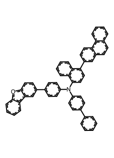 c1ccc(-c2ccc(N(c3ccc(-c4ccc5oc6ccccc6c5c4)cc3)c3ccc(-c4ccc5c(ccc6ccccc65)c4)c4ccccc34)cc2)cc1